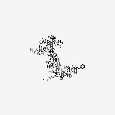 CCCC[C@@H](NC(=O)[C@@H]1CCCN1C(=O)CNC(=O)[C@H](CCCCN)NC(=O)[C@H](CS)NC(=O)[C@H](CO)NC(=O)[C@H](CC(C)C)NC(=O)[C@H](CS)NC(=O)[C@@H]1CCCN1C(=O)[C@H](CCCNC(=N)N)NC(=O)[C@H](CCC(N)=O)NC(=O)[C@H](Cc1cnc[nH]1)NC(=O)[C@H](C)N)C(=O)NCCc1ccccc1